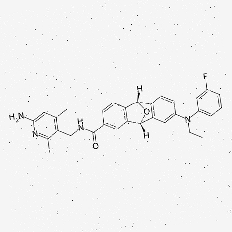 CCN(c1cccc(F)c1)c1ccc2c(c1)[C@H]1O[C@@H]2c2ccc(C(=O)NCc3c(C)cc(N)nc3C)cc21